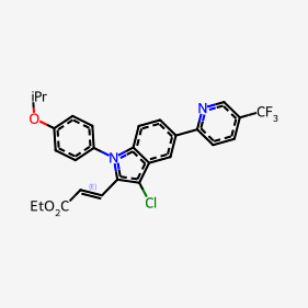 CCOC(=O)/C=C/c1c(Cl)c2cc(-c3ccc(C(F)(F)F)cn3)ccc2n1-c1ccc(OC(C)C)cc1